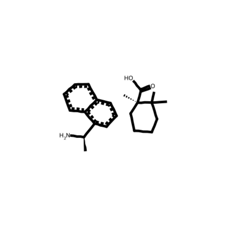 CC1(C)CCCC[C@@]1(C)C(=O)O.C[C@@H](N)c1cccc2ccccc12